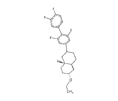 CCO[C@@H]1CC[C@@H]2CC(c3cc(F)c(-c4ccc(F)c(F)c4)c(F)c3)CCC2C1